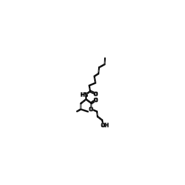 CCCCCCCC(=O)NC(CC(C)C)C(=O)OCCCO